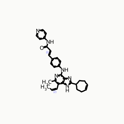 C/C=C\c1c(C)nc(Nc2ccc(/C=C/C(=O)Nc3ccncc3)cc2)c2nc(C3CCC=CCC3)[nH]c12